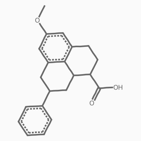 COc1cc2c3c(c1)CC(c1ccccc1)CC3C(C(=O)O)CC2